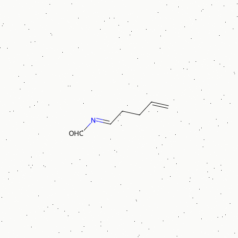 C=CCCC=NC=O